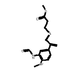 C=C(CSCCC(=O)OC)c1ccc(NC)c(NC=O)c1